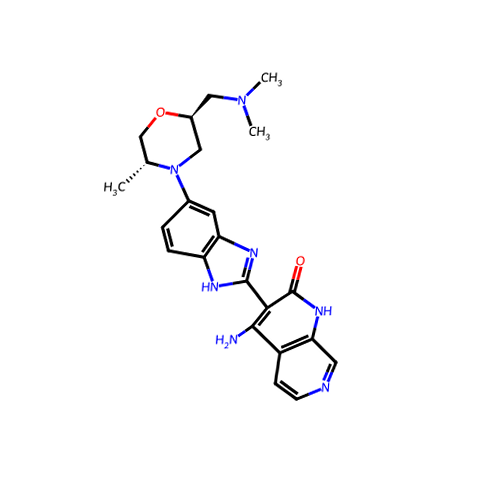 C[C@@H]1CO[C@@H](CN(C)C)CN1c1ccc2[nH]c(-c3c(N)c4ccncc4[nH]c3=O)nc2c1